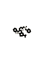 C=C(C)c1ccc2c(c1)C1OC(CN(C)Cc3ccccc3)CCC1C(c1ccccc1)N2